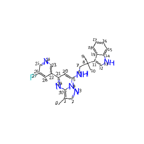 Cc1cnn2c(NCC(C)(C)c3c[nH]c4ccccc34)cc(-c3cncc(F)c3)nc12